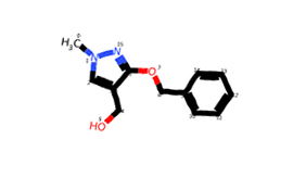 Cn1cc(CO)c(OCc2ccccc2)n1